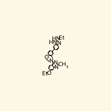 CCNc1nc2ccc(-c3ccc4c(c3)CN(c3nc(C)nc5cc(OCC)ccc35)CCO4)cc2[nH]1